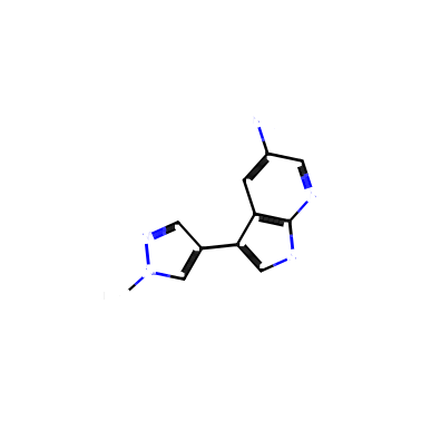 Cn1cc(-c2c[nH]c3ncc(N)cc23)cn1